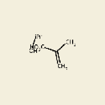 C=C(C)C(=O)O.CC(C)O